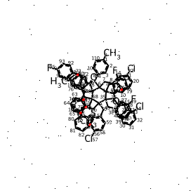 Cc1ccc(CC2(Cc3ccccc3F)C(Cc3cccc(Cl)c3)(C(=O)OCc3ccccc3Cl)C(Cc3ccccc3)(Cc3cccc(F)c3)C(Cc3ccc(Cl)cc3)(Cc3ccccc3C)C(Cc3cccc(C)c3)(c3cc4ccccc4s3)C2(C(=O)OCc2ccc(F)cc2)C(C2=CCCC2)c2cccs2)cc1